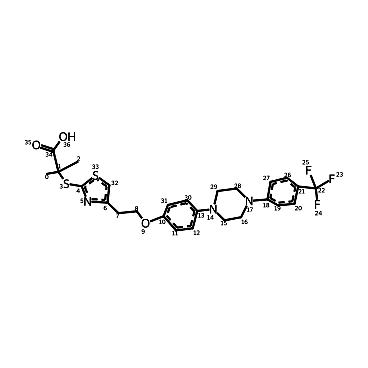 CC(C)(Sc1nc(CCOc2ccc(N3CCN(c4ccc(C(F)(F)F)cc4)CC3)cc2)cs1)C(=O)O